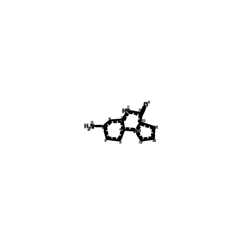 Nc1ccc2c(c1)[nH]c(=O)c1cccn12